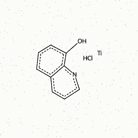 Cl.Oc1cccc2cccnc12.[Ti]